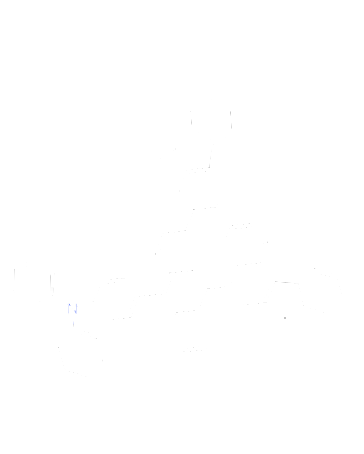 CC1(C)C2=C(CCC=C2)c2ccc(-c3ccc4c(-c5ccc6c(c5)c5c(n6-c6ccccc6)CCC=C5)c5ccccc5c(-c5cc6c(c7ccccc57)C5C=CC=CC5C6(C)C)c4c3)cc21